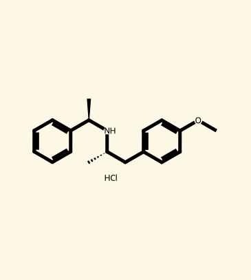 COc1ccc(C[C@H](C)N[C@H](C)c2ccccc2)cc1.Cl